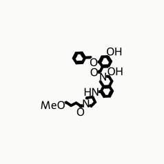 COCCCC(=O)N1CCC(Nc2cccc3c2CN(C(=O)c2c(O)cc(O)cc2OCc2ccccc2)CC3)C1